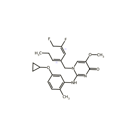 CC/C=C(\C=C(\F)CF)Cn1cc(OC)c(=O)nc1Nc1cc(OC2CC2)ccc1C